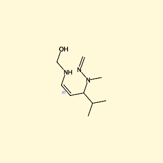 C=NN(C)C(/C=C\NCO)C(C)C